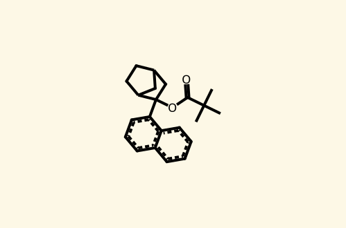 CC(C)(C)C(=O)OC1(c2cccc3ccccc23)CC2CCC1C2